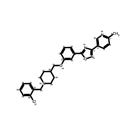 Cc1ccc(-c2noc(-c3cccc(OCC4CCN(Cc5ccccc5Cl)CC4)c3)n2)cn1